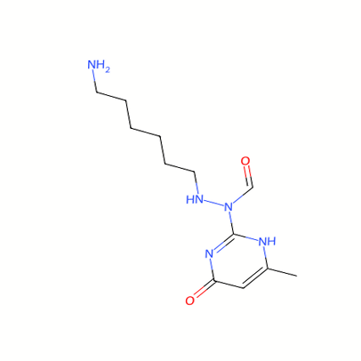 Cc1cc(=O)nc(N(C=O)NCCCCCCN)[nH]1